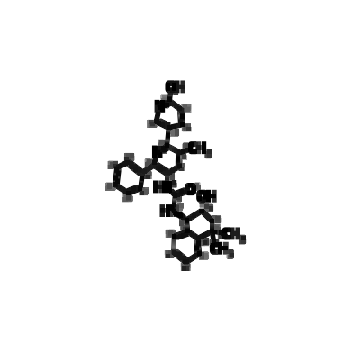 Cc1cc(NC(=O)N[C@@H]2c3ccccc3C(C)(C)C[C@H]2O)c(-c2ccccc2)nc1-c1ccc(O)nc1